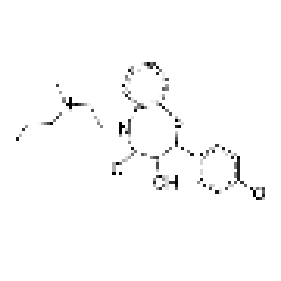 CCCN(C)CCN1C(=O)C(O)C(c2ccc(OC)cc2)Sc2ccccc21